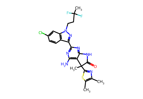 Cc1nc(C2(C)C(=O)Nc3nc(-c4nn(CCC(C)(F)F)c5cc(Cl)ccc45)nc(N)c32)sc1C